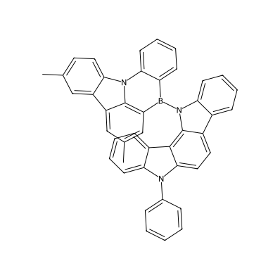 Cc1ccc2c(c1)c1cc(C)cc3c1n2-c1ccccc1B3n1c2ccccc2c2ccc3c(c4ccccc4n3-c3ccccc3)c21